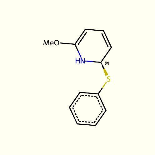 COC1=CC=C[C@@H](Sc2ccccc2)N1